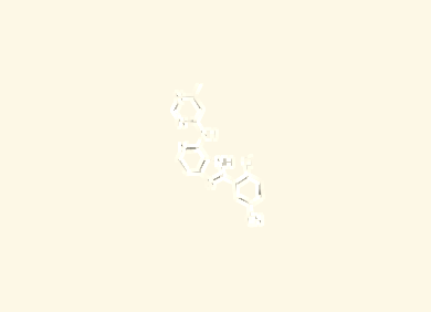 Cc1cc(Nc2nccc3nc(-c4cc(C#N)ccc4Cl)[nH]c23)ncn1